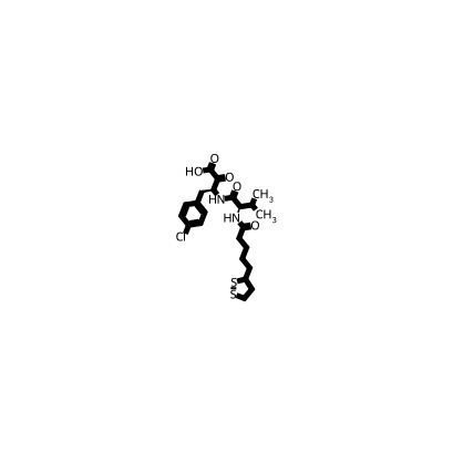 CC(C)[C@H](NC(=O)CCCCC1CCSS1)C(=O)N[C@@H](Cc1ccc(Cl)cc1)C(=O)C(=O)O